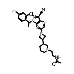 CC(=O)NCCN1CCCC(C2CN(c3cnc4c(C#N)nn(C(C)c5ccc(Cl)cc5Cl)c4n3)C2)C1